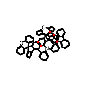 c1ccc2c(c1)Oc1ccccc1C21c2ccccc2-c2c(-c3ccccc3N(c3cccc4c3-c3ccccc3C43c4ccccc4Oc4ccccc43)c3cccc4c3-c3ccccc3C43c4ccccc4-c4ccccc43)cccc21